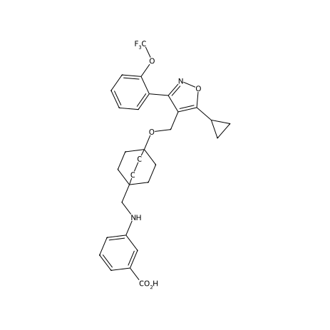 O=C(O)c1cccc(NCC23CCC(OCc4c(-c5ccccc5OC(F)(F)F)noc4C4CC4)(CC2)CC3)c1